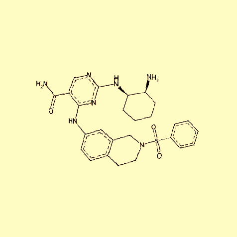 NC(=O)c1cnc(N[C@@H]2CCCC[C@@H]2N)nc1Nc1ccc2c(c1)CN(S(=O)(=O)c1ccccc1)CC2